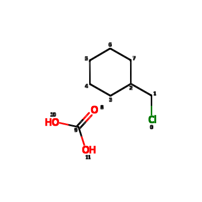 ClCC1CCCCC1.O=C(O)O